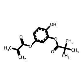 C=C(C)C(=O)Oc1ccc(O)c(OC(=O)C(C)(C)C)c1